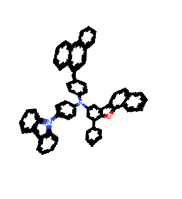 c1ccc(-c2cc(N(c3ccc(-c4cc5ccccc5c5ccccc45)cc3)c3ccc(-n4c5ccccc5c5ccccc54)cc3)cc3c2oc2c4ccccc4ccc32)cc1